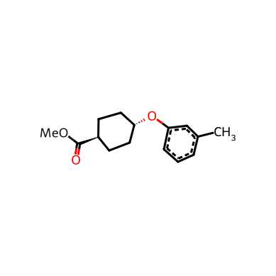 COC(=O)[C@H]1CC[C@H](Oc2cccc(C)c2)CC1